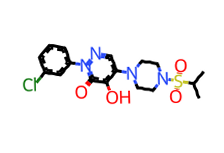 CC(C)S(=O)(=O)N1CCN(c2cnn(-c3cccc(Cl)c3)c(=O)c2O)CC1